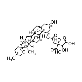 C[C@@H]1CC[C@@]2(OC1)O[C@H]1C[C@H]3[C@@H]4CC=C5C[C@@H](O)C[C@@H](OC(=O)CC(O)(C(=O)O)C(O)C(=O)O)[C@]5(C)[C@H]4CC[C@]3(C)[C@H]1[C@@H]2C